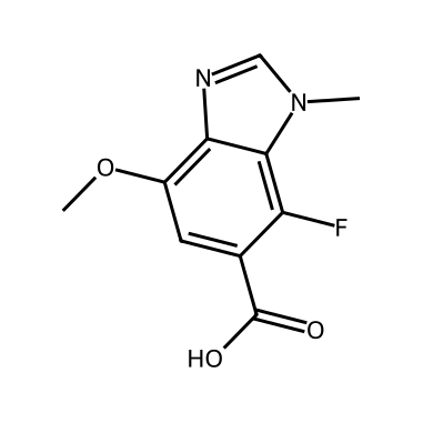 COc1cc(C(=O)O)c(F)c2c1ncn2C